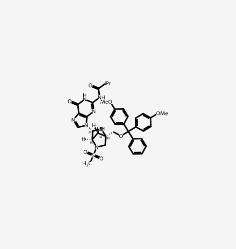 COc1ccc(C(OC[C@@]23CN(S(C)(=O)=O)[C@@H]([C@H](n4cnc5c(=O)[nH]c(NC(=O)C(C)C)nc54)O2)[C@@H]3O)(c2ccccc2)c2ccc(OC)cc2)cc1